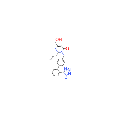 CCCCc1nc(CO)cc(=O)n1Cc1ccc(-c2ccccc2-c2nnn[nH]2)cc1